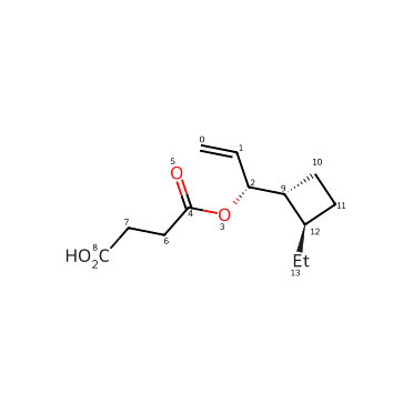 C=C[C@@H](OC(=O)CCC(=O)O)[C@@H]1CC[C@H]1CC